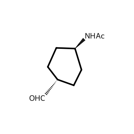 CC(=O)N[C@H]1CC[C@H](C=O)CC1